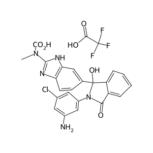 CN(C(=O)O)c1nc2ccc(C3(O)c4ccccc4C(=O)N3c3cc(N)cc(Cl)c3)cc2[nH]1.O=C(O)C(F)(F)F